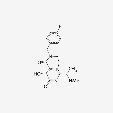 CNC(C)c1nc(=O)c(O)c2n1CCN(Cc1ccc(F)cc1)C2=O